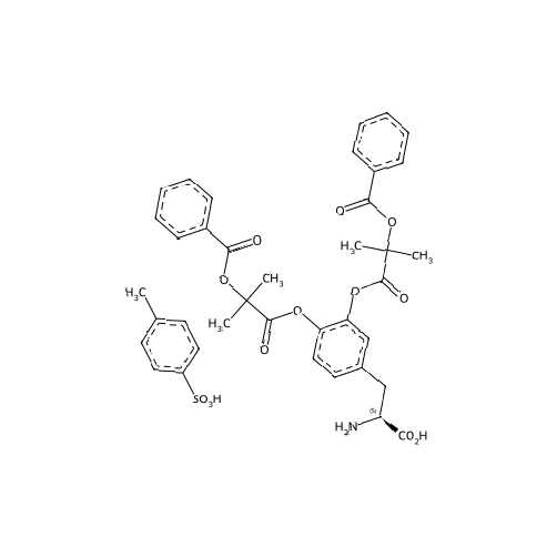 CC(C)(OC(=O)c1ccccc1)C(=O)Oc1ccc(C[C@H](N)C(=O)O)cc1OC(=O)C(C)(C)OC(=O)c1ccccc1.Cc1ccc(S(=O)(=O)O)cc1